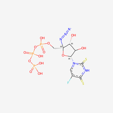 [N-]=[N+]=N[C@]1(COP(=O)(O)OP(=O)(O)OP(=O)(O)O)O[C@@H](n2cc(F)c(=S)[nH]c2=S)C(O)[C@H]1O